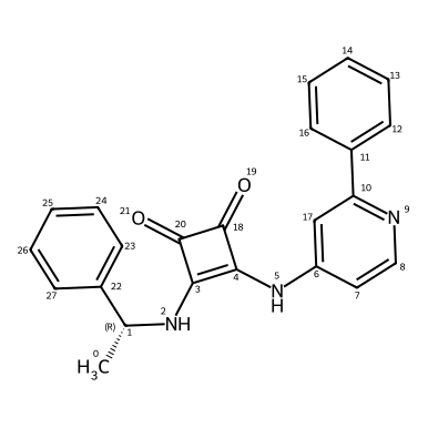 C[C@@H](Nc1c(Nc2ccnc(-c3ccccc3)c2)c(=O)c1=O)c1ccccc1